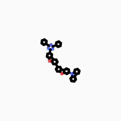 c1ccc(-c2nc(-c3ccccc3)nc(-c3ccc4oc5cc(-c6ccc7oc8cc(-n9c%10ccccc%10c%10ccccc%109)ccc8c7c6)ccc5c4c3)n2)cc1